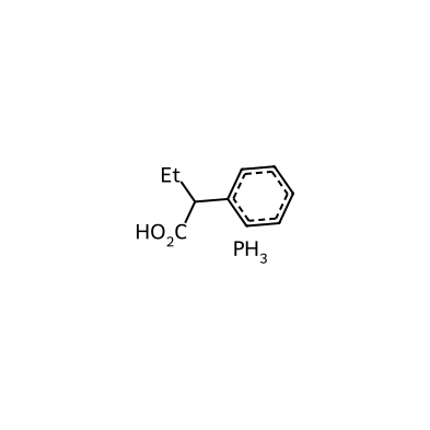 CCC(C(=O)O)c1ccccc1.P